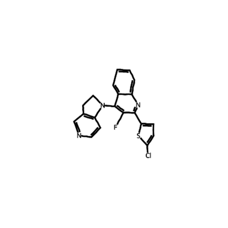 Fc1c(-c2ccc(Cl)s2)nc2ccccc2c1N1CCc2cnccc21